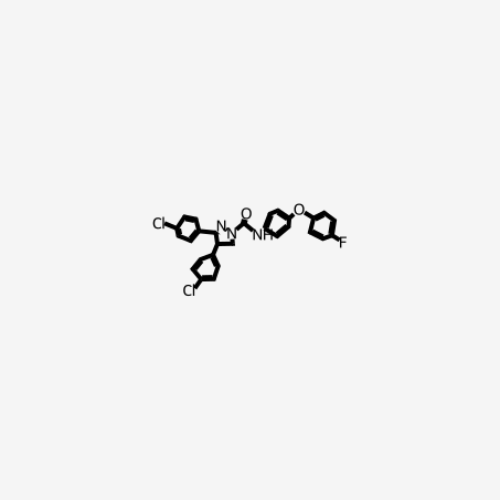 O=C(Nc1ccc(Oc2ccc(F)cc2)cc1)N1CC(c2ccc(Cl)cc2)C(c2ccc(Cl)cc2)=N1